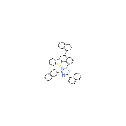 c1ccc2cc(-c3nc(-c4cccc5ccccc45)nc(-c4cccc5c(-c6cccc7ccccc67)cc6c7ccccc7sc6c45)n3)ccc2c1